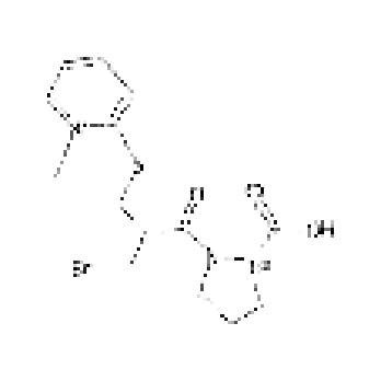 CC(CSc1cccc[n+]1C)C(=O)N1CCC[C@H]1C(=O)O.[Br-]